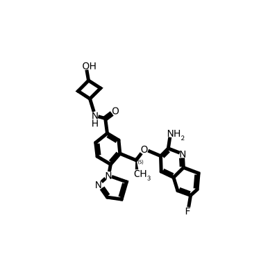 C[C@H](Oc1cc2cc(F)ccc2nc1N)c1cc(C(=O)NC2CC(O)C2)ccc1-n1cccn1